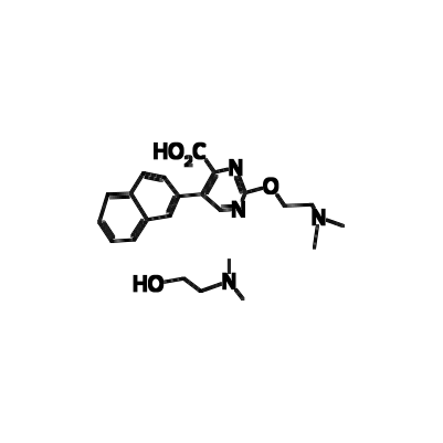 CN(C)CCO.CN(C)CCOc1ncc(-c2ccc3ccccc3c2)c(C(=O)O)n1